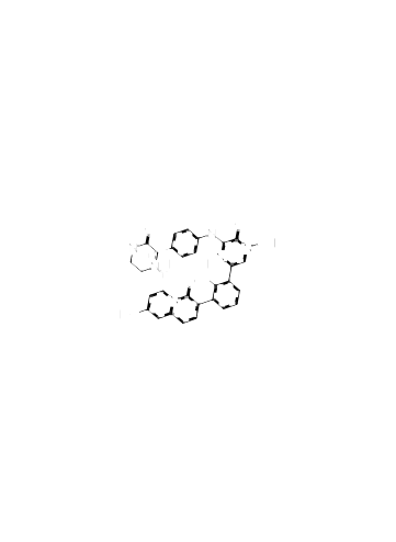 Cc1ccn2c(=O)c(-c3cccc(-c4cn(C)c(=O)c(Nc5ccc([C@@H]6C(=O)NCCN6C)cc5)n4)c3C)ccc2c1